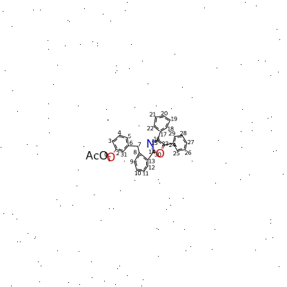 CC(=O)OOc1cccc(Cc2ccccc2-c2nc(-c3ccccc3)c(-c3ccccc3)o2)c1